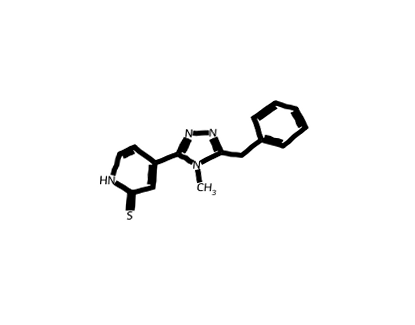 Cn1c(Cc2ccccc2)nnc1-c1cc[nH]c(=S)c1